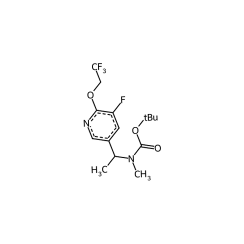 CC(c1cnc(OCC(F)(F)F)c(F)c1)N(C)C(=O)OC(C)(C)C